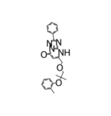 Cc1ccccc1OC(C)(C)COCc1cc(=O)n2nc(-c3ccccc3)nc2[nH]1